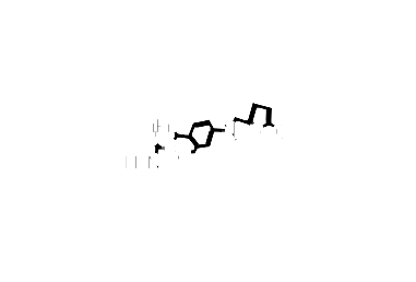 CC(C)C(OC(N)=O)c1ccc(N(C)Cc2ccc(Cl)s2)cc1Cl